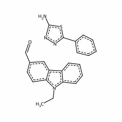 CCn1c2ccccc2c2cc(C=O)ccc21.Nc1nnc(-c2ccccc2)s1